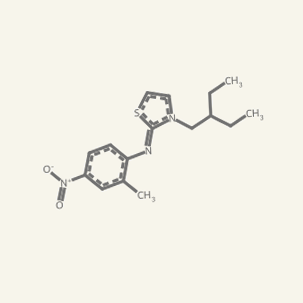 CCC(CC)Cn1ccsc1=Nc1ccc([N+](=O)[O-])cc1C